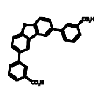 O=C(O)c1cccc(-c2ccc3sc4ccc(-c5cccc(C(=O)O)c5)cc4c3c2)c1